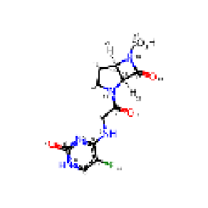 O=C(CNc1nc(=O)[nH]cc1F)N1CC[C@@H]2[C@H]1C(=O)N2S(=O)(=O)O